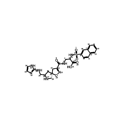 O=C(NCC(NS(=O)(=O)c1ccc2ccccc2c1)C(=O)O)C1=NO[C@]2(CNC(CNc3ncc[nH]3)C2)C1